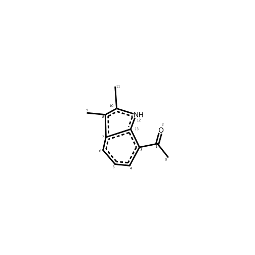 CC(=O)c1cccc2c(C)c(C)[nH]c12